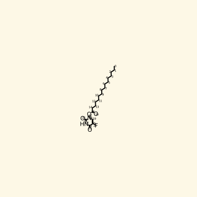 CCCCCCCCCCCCCCCC(=O)On1cc(F)c(=O)[nH]c1=O